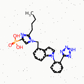 CCCCc1nc(P(=O)(O)O)cn1Cc1cccc2c1ccn2-c1ccccc1-c1nn[nH]n1